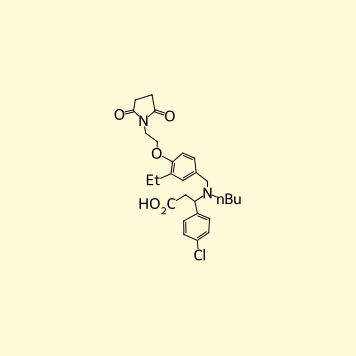 CCCCN(Cc1ccc(OCCN2C(=O)CCC2=O)c(CC)c1)C(CC(=O)O)c1ccc(Cl)cc1